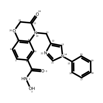 O=C(NO)c1ccc2c(c1)N(Cc1cn(-c3ccccc3)cn1)C(=O)CO2